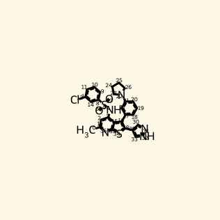 Cc1cc(NS(=O)(=O)c2cccc(Cl)c2)c2c(-c3cccc(N4CCCC4)c3)c(-c3cn[nH]c3)sc2n1